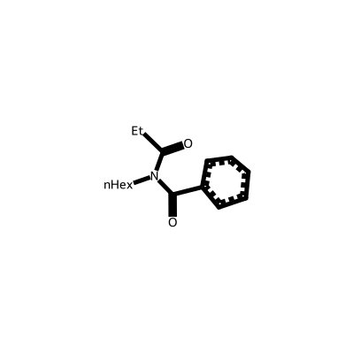 CCCCCCN(C(=O)CC)C(=O)c1ccccc1